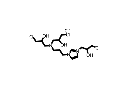 OC(CCl)CN(CCCn1cc[n+](CC(O)CCl)c1)CC(O)CCl.[Cl-]